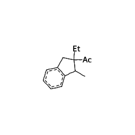 CCC1(C(C)=O)Cc2ccccc2C1C